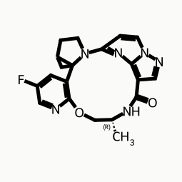 C[C@@H]1COc2ncc(F)cc2C23CC2CCN3c2ccn3ncc(c3n2)C(=O)N1